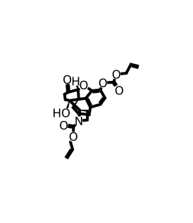 C=CCOC(=O)Oc1ccc2c3c1O[C@H]1C(=O)CC[C@@](O)([C@H]4CCN4C(=O)OCC=C)[C@@]31CCC2